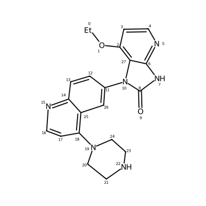 CCOc1ccnc2[nH]c(=O)n(-c3ccc4nccc(N5CCNCC5)c4c3)c12